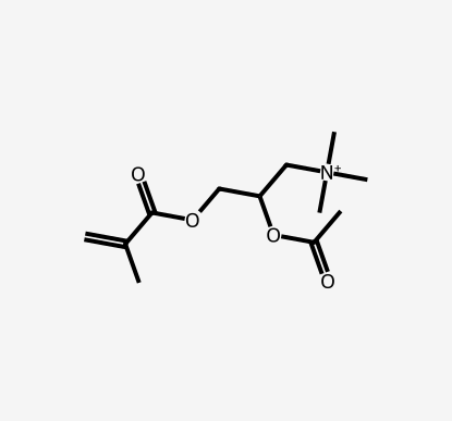 C=C(C)C(=O)OCC(C[N+](C)(C)C)OC(C)=O